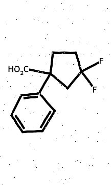 O=C(O)C1(c2ccccc2)CCC(F)(F)C1